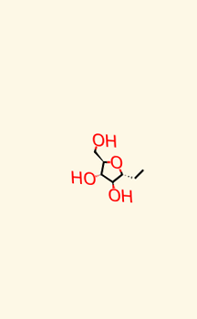 CC[C@H]1O[C@H](CO)[C@@H](O)[C@@H]1O